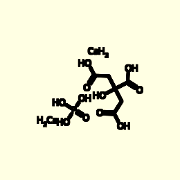 O=C(O)CC(O)(CC(=O)O)C(=O)O.O=P(O)(O)O.[CaH2].[CaH2]